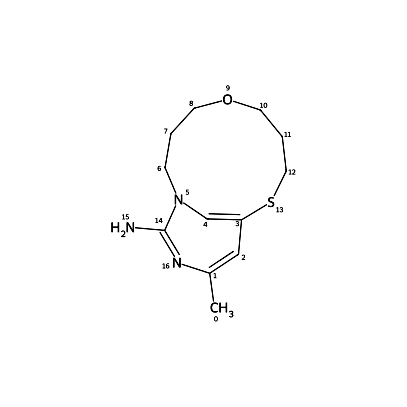 CC1=CC2=CN(CCCOCCCS2)C(N)=N1